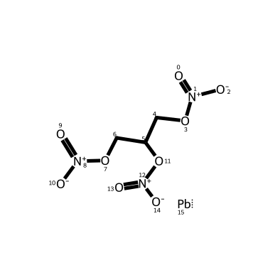 O=[N+]([O-])OCC(CO[N+](=O)[O-])O[N+](=O)[O-].[Pb]